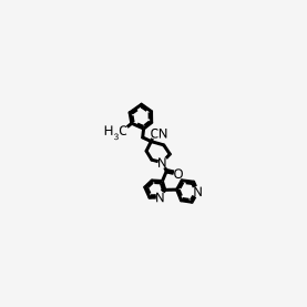 Cc1ccccc1CC1(C#N)CCN(C(=O)c2cccnc2-c2ccncc2)CC1